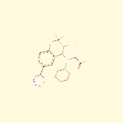 CC1(C)Oc2ccc(-c3nnn[nH]3)cc2C(N(CC(=O)O)c2ccccc2)C1O